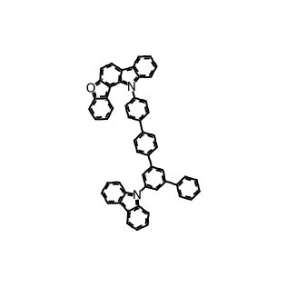 c1ccc(-c2cc(-c3ccc(-c4ccc(-n5c6ccccc6c6ccc7oc8ccccc8c7c65)cc4)cc3)cc(-n3c4ccccc4c4ccccc43)c2)cc1